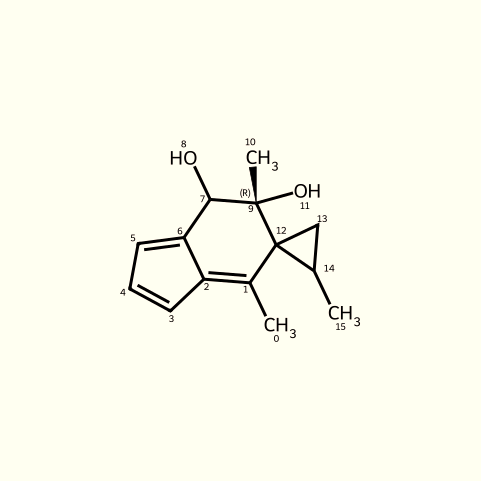 CC1=C2C=CC=C2C(O)[C@](C)(O)C12CC2C